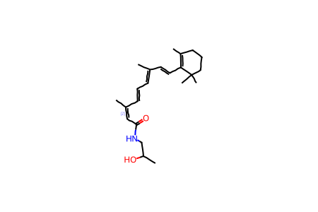 CC(C=CC1=C(C)CCCC1(C)C)=CC=C/C(C)=C\C(=O)NCC(C)O